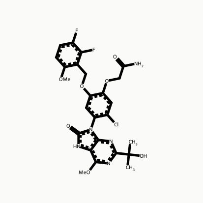 COc1ccc(F)c(F)c1COc1cc(-n2c(=O)[nH]c3c(OC)nc(C(C)(C)O)nc32)c(Cl)cc1OCC(N)=O